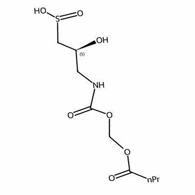 CCCC(=O)OCOC(=O)NC[C@H](O)CS(=O)O